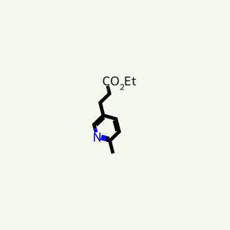 CCOC(=O)CCc1ccc(C)nc1